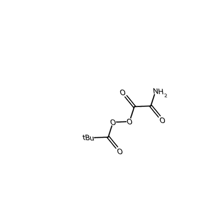 CC(C)(C)C(=O)OOC(=O)C(N)=O